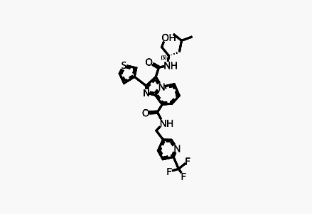 CC(C)C[C@@H](CO)NC(=O)c1c(-c2ccsc2)nc2c(C(=O)NCc3ccc(C(F)(F)F)nc3)cccn12